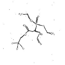 CCOP(=O)(OCC)C(NC=S)C(=O)OCC(Cl)(Cl)Cl